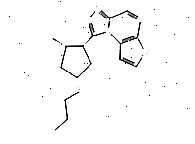 CC[C@@H]1C[C@@H](CCCN)C[C@@H]1c1nnc2cnc3[nH]ccc3n12